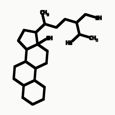 CC(S)C(CS)CCC(C)C1CCC2C3CCC4CCCCC4C3CCC12S